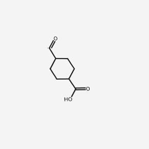 O=[C]C1CCC(C(=O)O)CC1